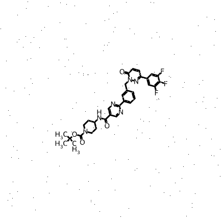 CC(C)(C)OC(=O)N1CCC(NC(=O)c2cnc(-c3cccc(Cn4nc(-c5cc(F)c(F)c(F)c5)ccc4=O)c3)nc2)CC1